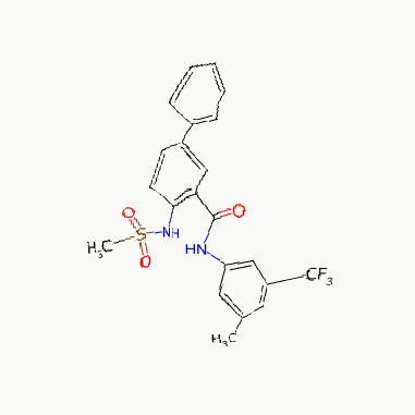 Cc1cc(NC(=O)c2cc(-c3ccccc3)ccc2NS(C)(=O)=O)cc(C(F)(F)F)c1